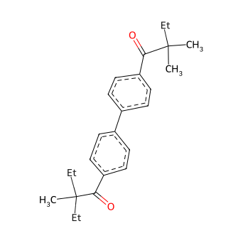 CCC(C)(C)C(=O)c1ccc(-c2ccc(C(=O)C(C)(CC)CC)cc2)cc1